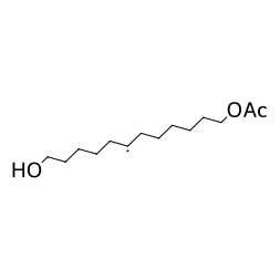 CC(=O)OCCCCCC[CH]CCCCCO